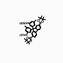 CCCCCCc1cc(C)cc(C2(c3cc(C)cc(CCCCCC)c3)c3cc(B4OC(C)(C)C(C)(C)O4)ccc3-c3ccc(B4OC(C)(C)C(C)(C)O4)cc32)c1